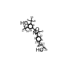 Cc1oc(-c2cc(C(C)(C)C)c(O)c(C(C)(C)C)c2)nc1-c1ccc(N(C)[CH]C(C)O)cc1